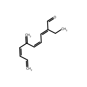 C=C/C=C\C(=C)/C=C\C=C(\C=O)CC